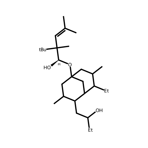 CCC(O)CC1C(C)CC2(O[C@@H](O)C(C)(C=C(C)C)C(C)(C)C)CC(C)C(CC)C1C2